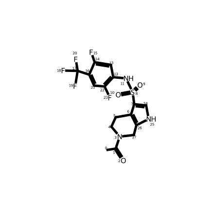 CC(=O)N1CCc2c(S(=O)(=O)Nc3cc(F)c(C(F)(F)F)cc3F)c[nH]c2C1